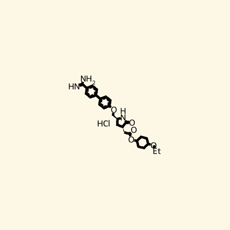 CCOC1CCC(OC(=O)C[C@@H]2C[C@@H](COc3ccc(-c4ccc(C(=N)N)cc4)cc3)NC2=O)CC1.Cl